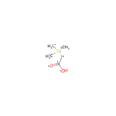 CS(C)(C)CC(=O)O